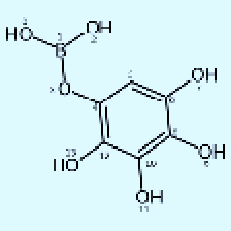 OB(O)Oc1cc(O)c(O)c(O)c1O